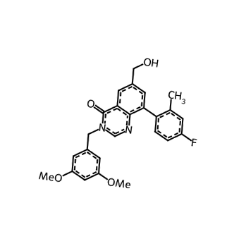 COc1cc(Cn2cnc3c(-c4ccc(F)cc4C)cc(CO)cc3c2=O)cc(OC)c1